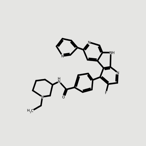 CCN1CCCC(NC(=O)c2ccc(-c3c(F)cnc4[nH]c5cnc(-c6cccnc6)cc5c34)cc2)C1